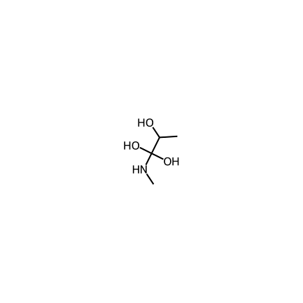 CNC(O)(O)C(C)O